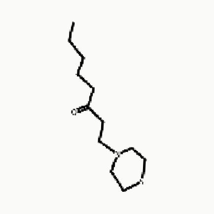 CCCCCC(=O)CCN1CCSCC1